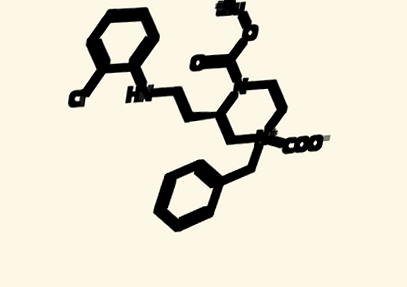 CC(C)(C)OC(=O)N1CC[N+](Cc2ccccc2)(C(=O)[O-])C[C@H]1CCNc1ccccc1Cl